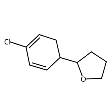 ClC1=CCC(C2CCCO2)C=C1